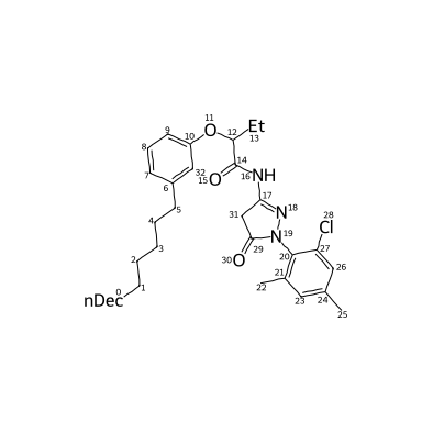 CCCCCCCCCCCCCCCc1cccc(OC(CC)C(=O)NC2=NN(c3c(C)cc(C)cc3Cl)C(=O)C2)c1